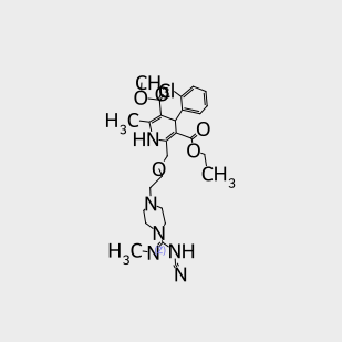 CCOC(=O)C1=C(COCCN2CCN(/C(=N\C)NC#N)CC2)NC(C)=C(C(=O)OC)C1c1ccccc1Cl